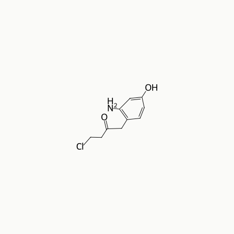 Nc1cc(O)ccc1CC(=O)CCCl